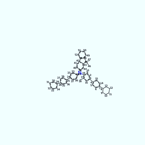 Cc1cc(-c2ccc(C3CCCCC3)cc2)cc(C)c1N(c1ccc(-c2ccc(-c3ccccc3)cc2)cc1)c1ccc2c(c1)C(C)(C)c1ccccc1-2